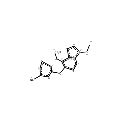 N#Cc1cccc(Oc2ccc3c(ccn3SI)c2CC(=O)O)c1